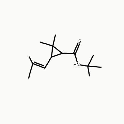 CC(C)=CC1C(C(=S)NC(C)(C)C)C1(C)C